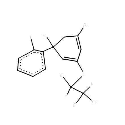 FC(F)(F)C(F)(F)C(F)(F)SC1=CC(Br)(c2ccccc2I)[CH]C(Br)=C1